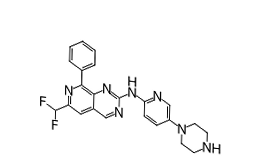 FC(F)c1cc2cnc(Nc3ccc(N4CCNCC4)cn3)nc2c(-c2ccccc2)n1